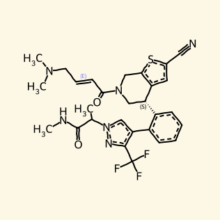 CNC(=O)C(C)n1cc(-c2ccccc2[C@@H]2CN(C(=O)/C=C/CN(C)C)Cc3sc(C#N)cc32)c(C(F)(F)F)n1